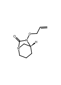 C=CCON1C(=O)N2CCC[C@@H]1C2